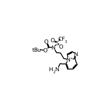 CC(C)(C)OC(=O)N(CCC[N+]12C=CN=C1C=CC=C2CN)S(=O)(=O)C(F)(F)F